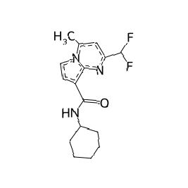 Cc1cc(C(F)F)nc2c(C(=O)NC3CCCCC3)ccn12